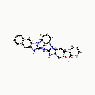 c1ccc2cc3c(cc2c1)nc1n3c2cccc3c2n1c1nc2cc4oc5ccccc5c4cc2n31